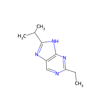 CCc1ncc2nc(C(C)C)[nH]c2n1